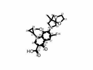 COc1c(N2CC(C)(C)C3(C2)OCCO3)c(F)cc2c(=O)c(C(=O)O)cn(C3CC3)c12